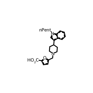 CCCCCn1cc(C2CCN(Cc3ccc(C(=O)O)o3)CC2)c2ccccc21